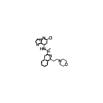 C[C@H](Nc1cc(Cl)nn2ccnc12)c1cc2ccccc2c(CCN2CCOCC2)n1